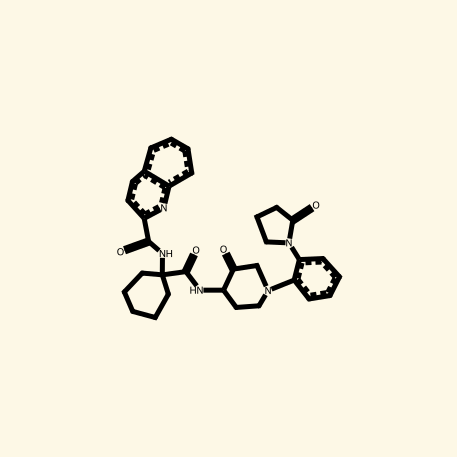 O=C(NC1(C(=O)NC2CCN(c3ccccc3N3CCCC3=O)CC2=O)CCCCC1)c1ccc2ccccc2n1